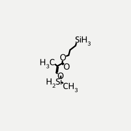 C[SiH2]OC=C(C)C(=O)OCCC[SiH3]